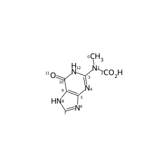 CN(C(=O)O)c1nc2nc[nH]c2c(=O)[nH]1